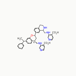 CC(c1ccccc1)c1ccc2c(c1)OC(c1ccc3c(c1)C(CNc1cnccc1C(=O)O)NCC3)C[C@H]2CNc1cnccc1C(=O)O